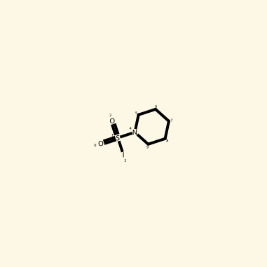 O=S(=O)(I)N1CCCCC1